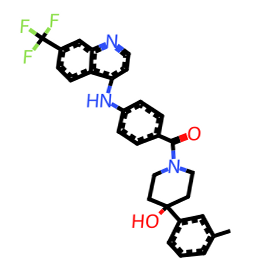 Cc1cccc(C2(O)CCN(C(=O)c3ccc(Nc4ccnc5cc(C(F)(F)F)ccc45)cc3)CC2)c1